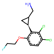 NCC1C[C@@H]1c1c(OCCF)ccc(Cl)c1Cl